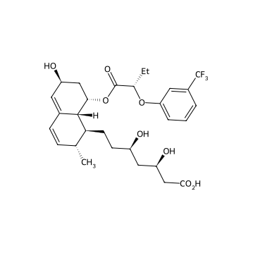 CC[C@H](Oc1cccc(C(F)(F)F)c1)C(=O)O[C@H]1C[C@H](O)C=C2C=C[C@@H](C)[C@H](CC[C@@H](O)C[C@@H](O)CC(=O)O)[C@H]21